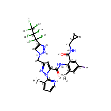 Cc1cccnc1-n1nc(Cn2cc(C(F)(F)C(F)(F)C(F)(F)F)nn2)cc1C(=O)Nc1c(C)cc(I)cc1C(=O)NCC1CC1